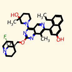 CCc1cccc2cc(O)cc(-c3ncc4c(N5CCCC(C)(O)C5)nc(OC[C@]56CCCN(C[C@H](F)C5)C6C)nc4c3C)c12